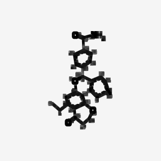 CCc1cc(O[C@H](c2ccncc2)c2ccc(C(N)=O)cc2)cc2c1C(=O)CCO2